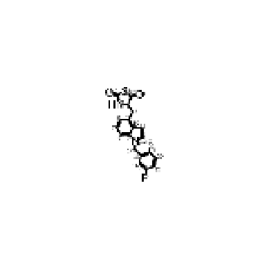 O=C1NC(Cc2cccc3c2ccn3Cc2cc(F)ccc2F)C(=O)S1